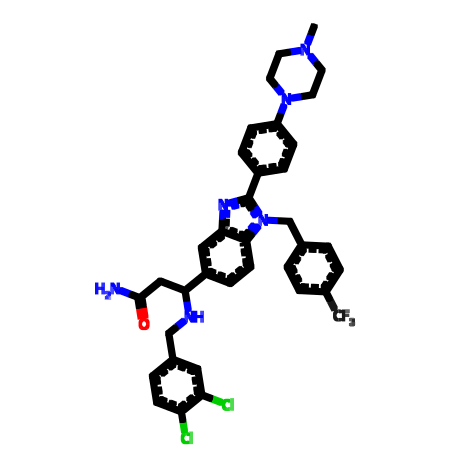 CN1CCN(c2ccc(-c3nc4cc(C(CC(N)=O)NCc5ccc(Cl)c(Cl)c5)ccc4n3Cc3ccc(C(F)(F)F)cc3)cc2)CC1